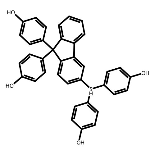 Oc1ccc([SH](c2ccc(O)cc2)c2ccc3c(c2)-c2ccccc2C3(c2ccc(O)cc2)c2ccc(O)cc2)cc1